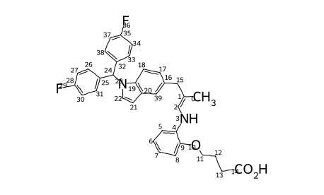 CC(=CNc1ccccc1OCCCC(=O)O)Cc1ccc2c(ccn2C(c2ccc(F)cc2)c2ccc(F)cc2)c1